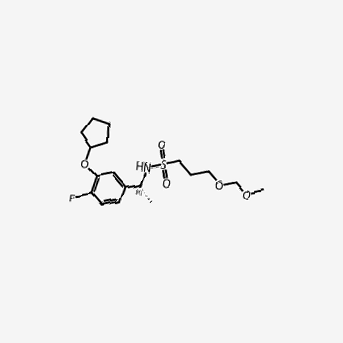 COCOCCCS(=O)(=O)N[C@H](C)c1ccc(F)c(OC2CCCC2)c1